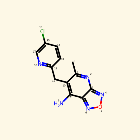 Cc1nc2nonc2c(N)c1Cc1ccc(Cl)cn1